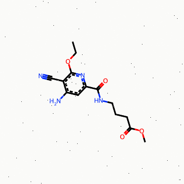 CCOc1nc(C(=O)NCCCC(=O)OC)cc(N)c1C#N